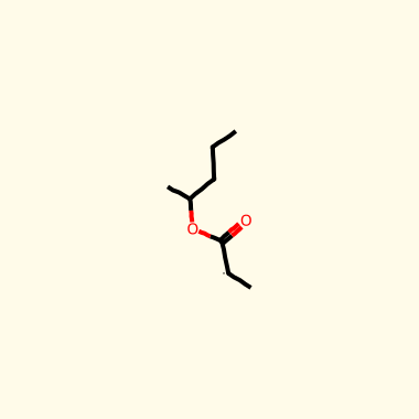 C[CH]C(=O)OC(C)CCC